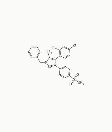 NS(=O)(=O)c1ccc(-c2nn(Cc3ccccc3)c(C(F)(F)F)c2-c2ccc(Cl)cc2Cl)cc1